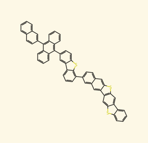 c1ccc2cc(-c3c4ccccc4c(-c4ccc5sc6c(-c7ccc8cc9sc%10cc%11c(cc%10c9cc8c7)sc7ccccc7%11)cccc6c5c4)c4ccccc34)ccc2c1